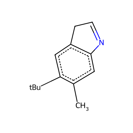 Cc1cc2c(cc1C(C)(C)C)CC=N2